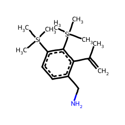 C=C(C)c1c(CN)ccc([Si](C)(C)C)c1[Si](C)(C)C